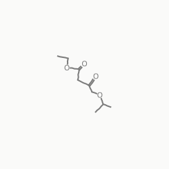 CCOC(=O)CC(=O)COC(C)C